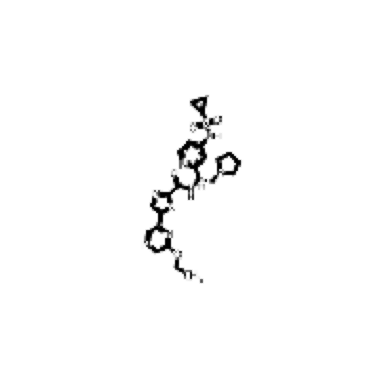 CCOc1cncc(-c2cnc(C(=O)N[C@@H](CN3CCCC3)c3cc(NS(=O)(=O)C4CC4)ccn3)s2)n1